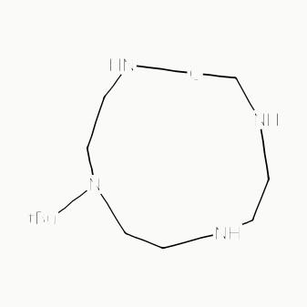 CC(C)(C)N1CCNCCNCCNCC1